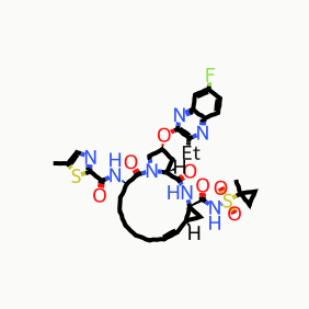 CCc1nc2ccc(F)cc2nc1O[C@@H]1C[C@H]2C(=O)N[C@]3(C(=O)NS(=O)(=O)C4(C)CC4)C[C@H]3C=CCCCCC[C@H](NC(=O)c3ncc(C)s3)C(=O)N2C1